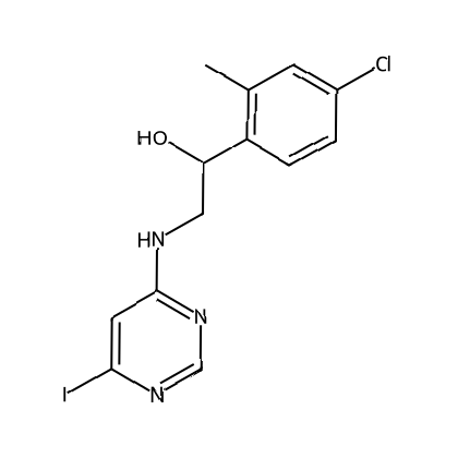 Cc1cc(Cl)ccc1C(O)CNc1cc(I)ncn1